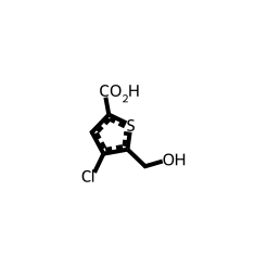 O=C(O)c1cc(Cl)c(CO)s1